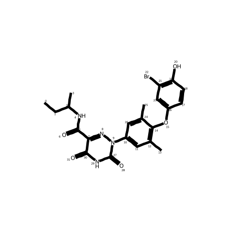 CCC(C)NC(=O)c1nn(-c2cc(C)c(Oc3ccc(O)c(Br)c3)c(C)c2)c(=O)[nH]c1=O